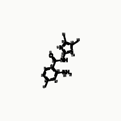 Cc1ccc(C(=O)Nc2nc(C)c(C)s2)c(N)c1